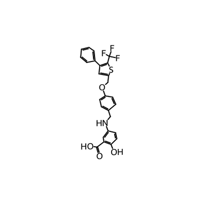 O=C(O)c1cc(NCc2ccc(OCc3cc(-c4ccccc4)c(C(F)(F)F)s3)cc2)ccc1O